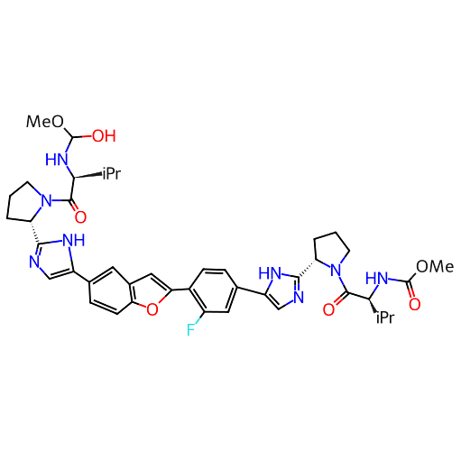 COC(=O)N[C@H](C(=O)N1CCC[C@H]1c1ncc(-c2ccc(-c3cc4cc(-c5cnc([C@@H]6CCCN6C(=O)[C@@H](NC(O)OC)C(C)C)[nH]5)ccc4o3)c(F)c2)[nH]1)C(C)C